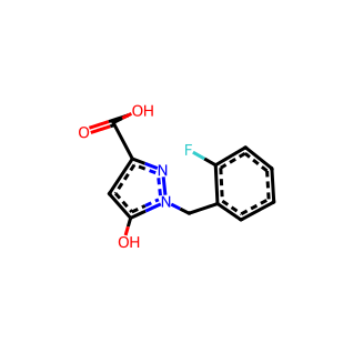 O=C(O)c1cc(O)n(Cc2ccccc2F)n1